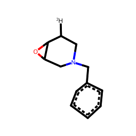 [2H]C1CN(Cc2ccccc2)CC2OC12